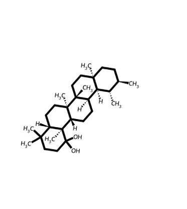 C[C@@H]1[C@H]2[C@H]3CC[C@@H]4[C@]5(C)[C@@H](CC[C@@]4(C)[C@]3(C)CC[C@@]2(C)CC[C@H]1C)C(C)(C)CCC5(O)O